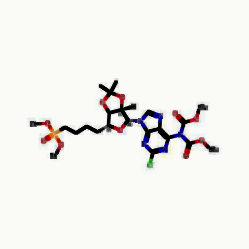 CCOP(=O)(CCCC[C@H]1O[C@@H](n2cnc3c(N(C(=O)OC(C)(C)C)C(=O)OC(C)(C)C)nc(Cl)nc32)[C@H]2OC(C)(C)OC12)OCC